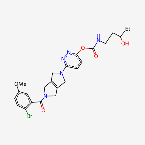 CCC(O)CCNC(=O)Oc1ccc(N2CC3=C(CN(C(=O)c4cc(OC)ccc4Br)C3)C2)nn1